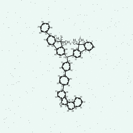 CC1(C)c2ccccc2-c2ccc(N(c3ccc(-c4ccc(-c5ccc6oc7ccc8ccccc8c7c6c5)cc4)cc3)c3ccc4c(c3)C(C)(C)c3cc(-c5ccccc5)ccc3-4)cc21